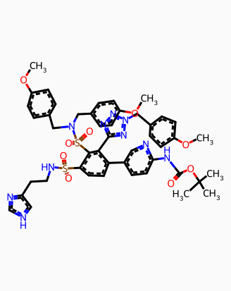 COc1ccc(CN(Cc2ccc(OC)cc2)S(=O)(=O)c2c(S(=O)(=O)NCCc3c[nH]cn3)ccc(-c3ccc(NC(=O)OC(C)(C)C)nc3)c2-c2nnn(Cc3ccc(OC)cc3)n2)cc1